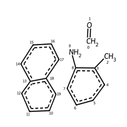 C=O.Cc1ccccc1N.c1ccc2ccccc2c1